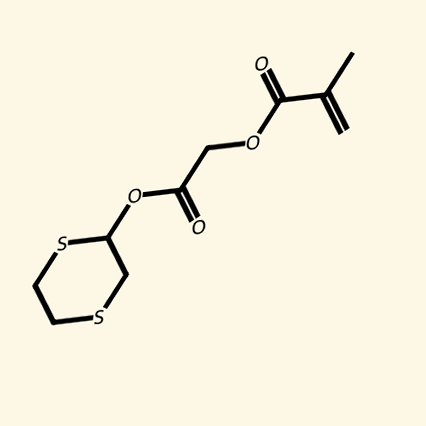 C=C(C)C(=O)OCC(=O)OC1CSCCS1